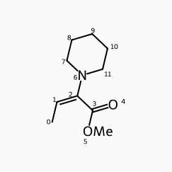 CC=C(C(=O)OC)N1CCCCC1